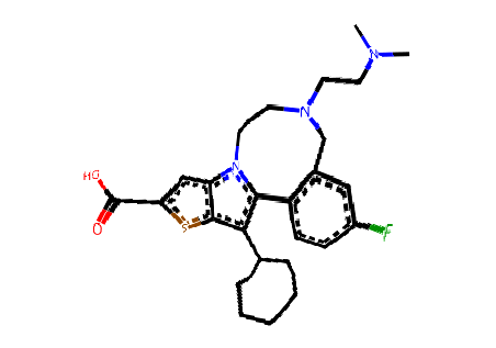 CN(C)CCN1CCn2c(c(C3CCCCC3)c3sc(C(=O)O)cc32)-c2ccc(F)cc2C1